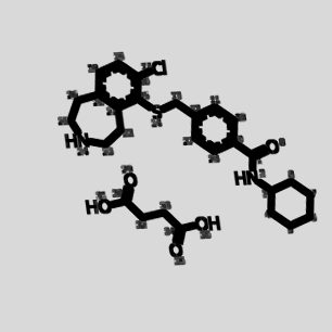 O=C(NC1CCCCC1)c1ccc(CSc2c(Cl)ccc3c2CCNCC3)cc1.O=C(O)CCC(=O)O